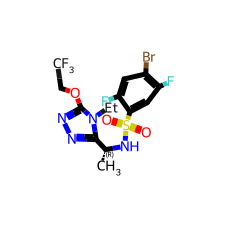 CCn1c(OCC(F)(F)F)nnc1[C@@H](C)NS(=O)(=O)c1cc(F)c(Br)cc1F